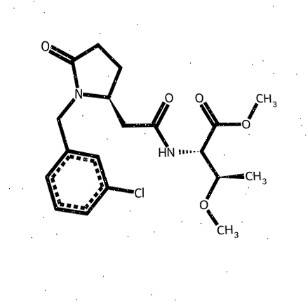 COC(=O)[C@@H](NC(=O)C[C@@H]1CCC(=O)N1Cc1cccc(Cl)c1)[C@@H](C)OC